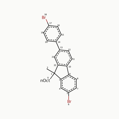 CCCCCCCCC1(C)c2cc(Br)ccc2-c2ccc(-c3ccc(Br)cc3)cc21